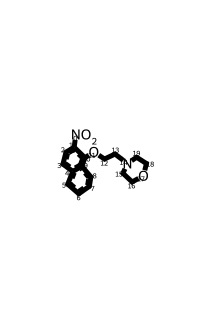 O=[N+]([O-])c1ccc2ccccc2c1OCCN1CCOCC1